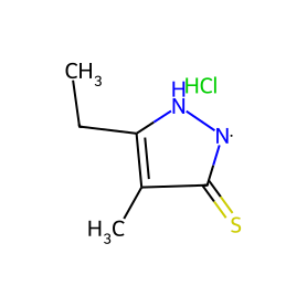 CCC1=C(C)C(=S)[N]N1.Cl